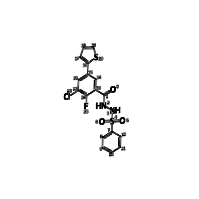 O=C(NNS(=O)(=O)c1ccccc1)c1cc(-c2cccs2)cc(Cl)c1F